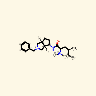 C[C@H](CC(C(=O)N[C@@H]1CC[C@H]2CN(Cc3ccccc3)C[C@H]21)N(C)C(=O)O)CC(C)(C)C